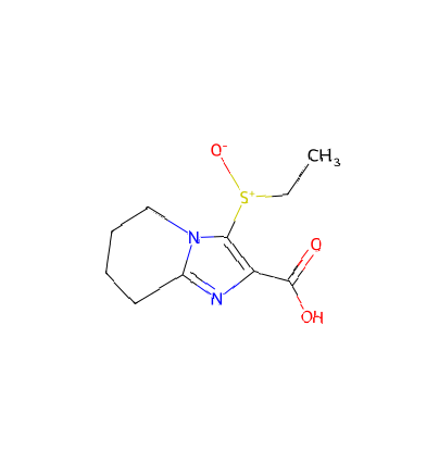 CC[S+]([O-])c1c(C(=O)O)nc2n1CCCC2